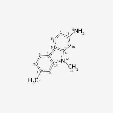 Cc1ccc2c3ccc(N)cc3n(C)c2c1